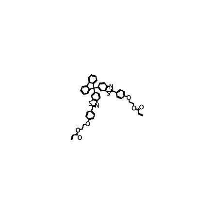 C=CC(=O)OCCOc1ccc(-c2nc3ccc(C4(c5ccc6nc(-c7ccc(OCCOC(=O)C=C)cc7)sc6c5)c5ccccc5-c5ccccc54)cc3s2)cc1